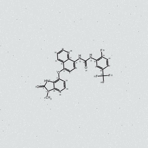 Cn1c(=O)[nH]c2c(Oc3ccc(NC(=O)Nc4cc(C(F)(F)F)ccc4F)c4ncccc34)ccnc21